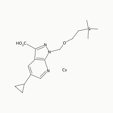 C[Si](C)(C)CCOCn1nc(C(=O)O)c2cc(C3CC3)cnc21.[Cs]